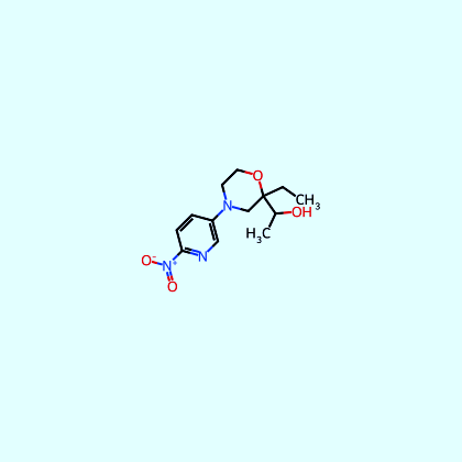 CCC1(C(C)O)CN(c2ccc([N+](=O)[O-])nc2)CCO1